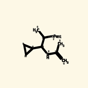 C=C(C)BC(C(C)CCCCC)C1CC1